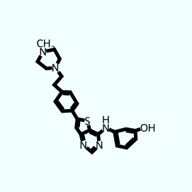 CN1CCN(CCc2ccc(-c3cc4ncnc(Nc5cccc(O)c5)c4s3)cc2)CC1